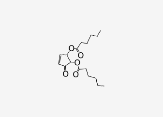 CCCCCC(=O)OC1C=CC(=O)C1OC(=O)CCCCC